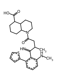 CNc1cccc(-c2cccs2)c1C(=N)C(C)CC(=O)N1CCCC2C(C(=O)O)CCCC21